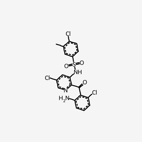 Cc1cc(S(=O)(=O)Nc2cc(Cl)cnc2C(=O)c2c(N)cccc2Cl)ccc1Cl